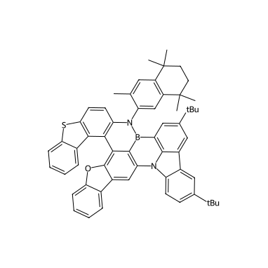 Cc1cc2c(cc1N1B3c4c(cc5c(oc6ccccc65)c4-c4c1ccc1sc5ccccc5c41)-n1c4ccc(C(C)(C)C)cc4c4cc(C(C)(C)C)cc3c41)C(C)(C)CCC2(C)C